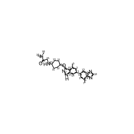 Cc1cc(-c2cc(C)c3ncnn3c2)cc2[nH]nc(OC3CCC(NCC(=O)N(C)C)CC3)c12